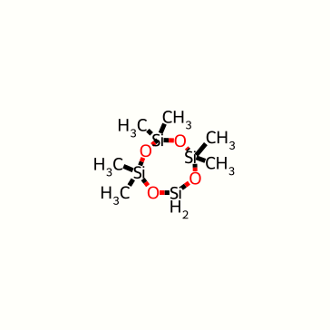 C[Si]1(C)O[SiH2]O[Si](C)(C)O[Si](C)(C)O1